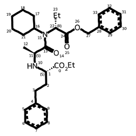 CCOC(=O)[C@H](CCc1ccccc1)N[C@@H](C)C(=O)N(C1CCCCC1)[C@H](CC)C(=O)OCc1ccccc1